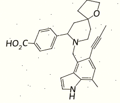 CC#Cc1cc(C)c2[nH]ccc2c1CN1CCC2(CCCO2)CC1c1ccc(C(=O)O)cc1